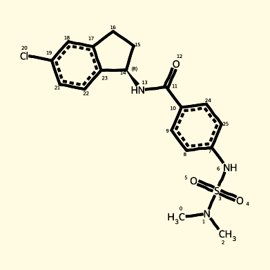 CN(C)S(=O)(=O)Nc1ccc(C(=O)N[C@@H]2CCc3cc(Cl)ccc32)cc1